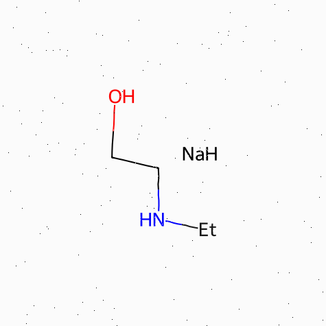 CCNCCO.[NaH]